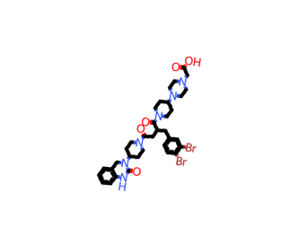 O=C(O)CN1CCN(C2CCN(C(=O)C(CC(=O)N3CCC(N4Cc5ccccc5NC4=O)CC3)Cc3ccc(Br)c(Br)c3)CC2)CC1